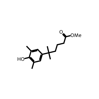 COC(=O)CCCC(C)(C)c1cc(C)c(O)c(C)c1